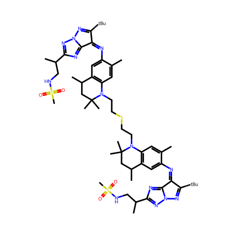 Cc1cc2c(cc1/N=C1/C(C(C)(C)C)=Nn3nc(C(C)CNS(C)(=O)=O)nc31)C(C)CC(C)(C)N2CCSCCN1c2cc(C)c(/N=C3/C(C(C)(C)C)=Nn4nc(C(C)CNS(C)(=O)=O)nc43)cc2C(C)CC1(C)C